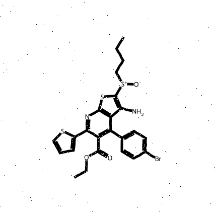 CCCC[S+]([O-])c1sc2nc(-c3cccs3)c(C(=O)OCC)c(-c3ccc(Br)cc3)c2c1N